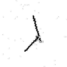 CCCCCCCCCCCCCCCCCCN(CC(O)CO)C(=O)CCCCCCCCCCCCCCC